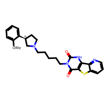 COc1ccccc1[C@H]1CCN(CCCCCn2c(=O)[nH]c3c(sc4cccnc43)c2=O)C1